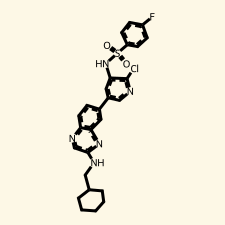 O=S(=O)(Nc1cc(-c2ccc3ncc(NCC4CCCCC4)nc3c2)cnc1Cl)c1ccc(F)cc1